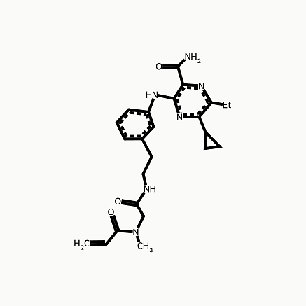 C=CC(=O)N(C)CC(=O)NCCc1cccc(Nc2nc(C3CC3)c(CC)nc2C(N)=O)c1